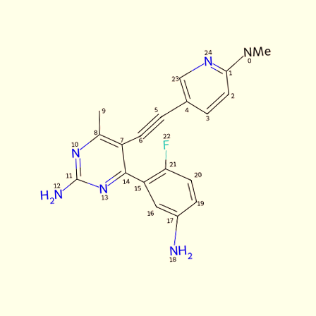 CNc1ccc(C#Cc2c(C)nc(N)nc2-c2cc(N)ccc2F)cn1